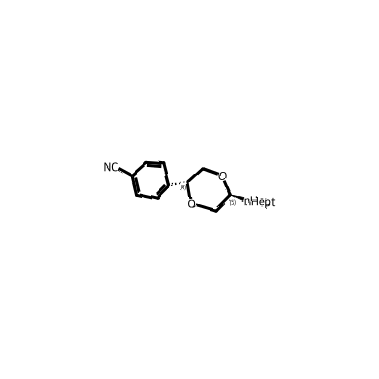 CCCCCCC[C@H]1CO[C@H](c2ccc(C#N)cc2)CO1